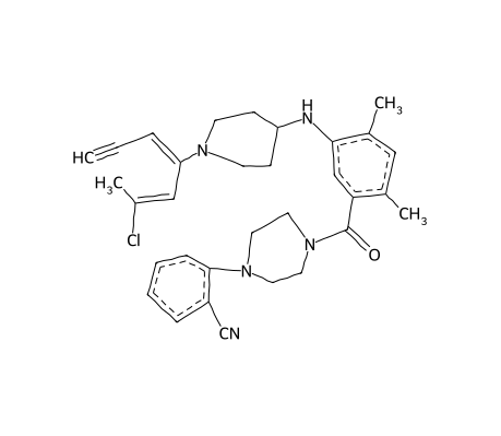 C#C/C=C(\C=C(/C)Cl)N1CCC(Nc2cc(C(=O)N3CCN(c4ccccc4C#N)CC3)c(C)cc2C)CC1